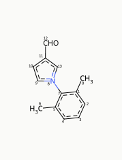 Cc1cccc(C)c1-n1ccc(C=O)c1